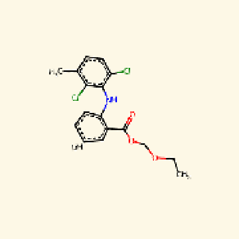 CCOCOC(=O)c1ccccc1Nc1c(Cl)ccc(C)c1Cl.[LiH]